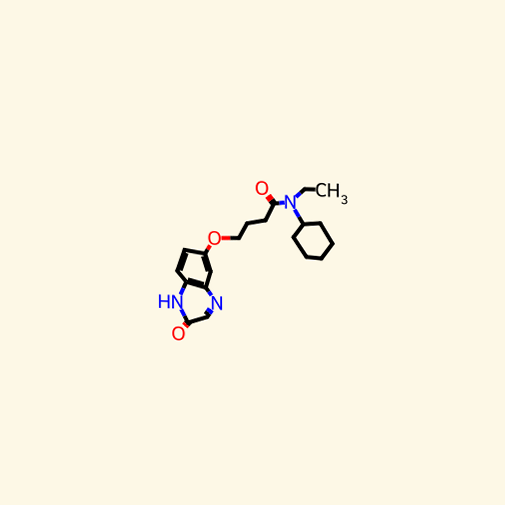 CCN(C(=O)CCCOc1ccc2[nH]c(=O)cnc2c1)C1CCCCC1